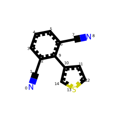 N#Cc1cccc(C#N)c1-c1c[c]sc1